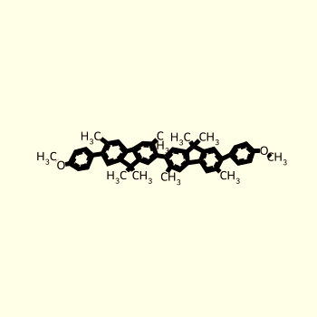 COc1ccc(-c2cc3c(cc2C)-c2cc(C)c(-c4cc5c(cc4C)-c4cc(C)c(-c6ccc(OC)cc6)cc4C5(C)C)cc2C3(C)C)cc1